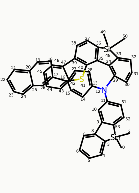 C[Si]1(C)c2ccccc2-c2cc(N(c3ccc(-c4ccc5ccccc5c4)cc3)c3cccc4c3-c3c(ccc5c3sc3ccccc35)[Si]4(C)C)ccc21